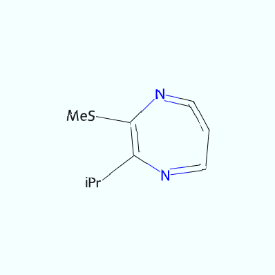 CSC1=C(C(C)C)N=CC=C=N1